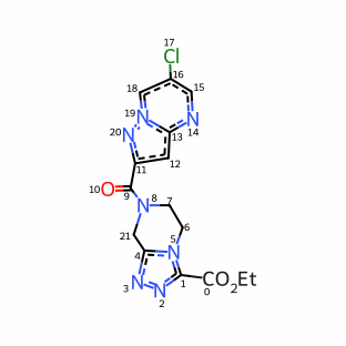 CCOC(=O)c1nnc2n1CCN(C(=O)c1cc3ncc(Cl)cn3n1)C2